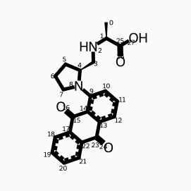 C[C@H](NC[C@@H]1CCCN1c1cccc2c1C(=O)c1ccccc1C2=O)C(=O)O